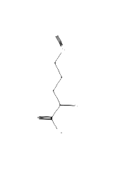 C=NCCCC(N)C(=O)O